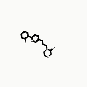 O=C1CSCCN1CCCc1ccc(-c2ccccc2F)nc1